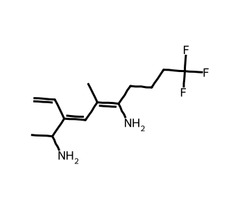 C=C/C(=C\C(C)=C(/N)CCCC(F)(F)F)C(C)N